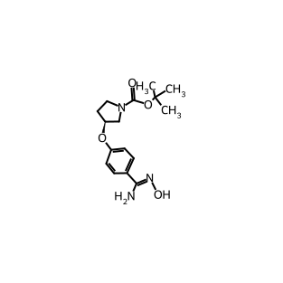 CC(C)(C)OC(=O)N1CC[C@H](Oc2ccc(/C(N)=N/O)cc2)C1